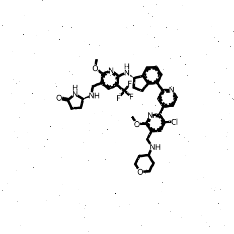 COc1nc(N[C@H]2CCc3c(-c4cc(-c5nc(OC)c(CNC6CCOCC6)cc5Cl)ccn4)cccc32)c(C(F)(F)F)cc1CN[C@H]1CCC(=O)N1